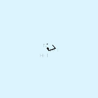 C1=NOC1.Cl.Cl